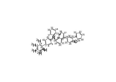 [2H]c1c([2H])c([2H])c(-c2ccc(N(c3ccccc3)c3cccc4c(-c5ccc6oc7ccccc7c6c5)cccc34)cc2)c([2H])c1[2H]